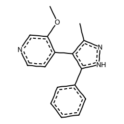 COc1cnccc1-c1c(C)n[nH]c1-c1ccccc1